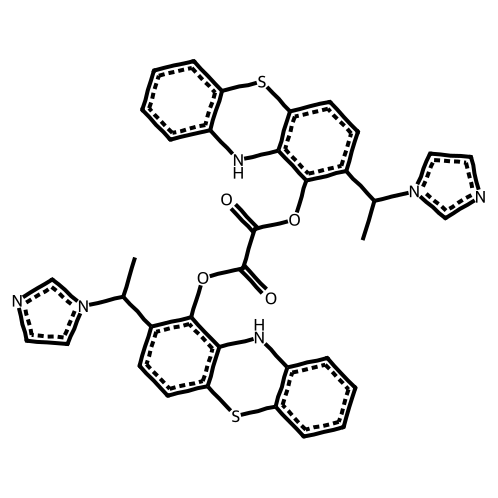 CC(c1ccc2c(c1OC(=O)C(=O)Oc1c(C(C)n3ccnc3)ccc3c1Nc1ccccc1S3)Nc1ccccc1S2)n1ccnc1